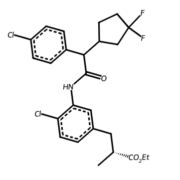 CCOC(=O)[C@H](C)Cc1ccc(Cl)c(NC(=O)C(c2ccc(Cl)cc2)C2CCC(F)(F)C2)c1